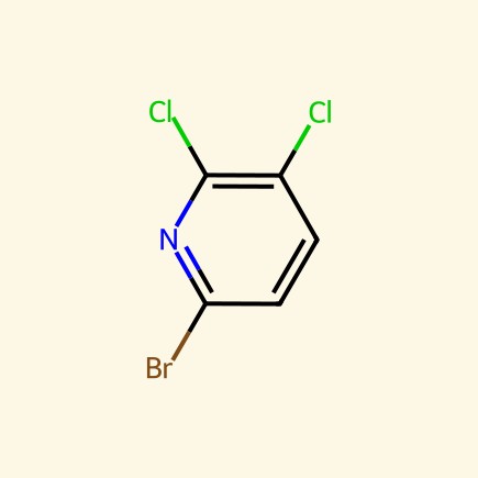 Clc1ccc(Br)nc1Cl